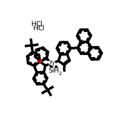 CC1=Cc2c(-c3cc4ccccc4c4ccccc34)cccc2[CH]1[Zr]([CH3])(=[SiH2])([c]1ccccc1)[CH]1c2cc(C(C)(C)C)ccc2-c2ccc(C(C)(C)C)cc21.Cl.Cl